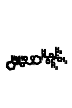 CC(C)(C)OC(=O)N[C@@H]1CC[C@@H](CC(O)On2nnc3ccccc32)OC1